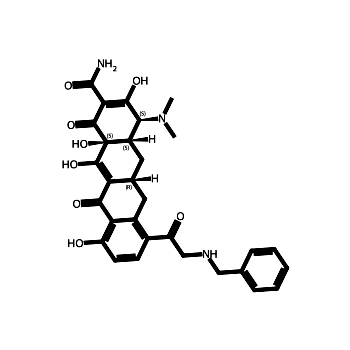 CN(C)[C@@H]1C(O)=C(C(N)=O)C(=O)[C@@]2(O)C(O)=C3C(=O)c4c(O)ccc(C(=O)CNCc5ccccc5)c4C[C@H]3C[C@@H]12